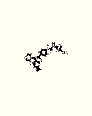 Cc1coc(NC(=O)Nc2ccc(-c3nc4c(c(N5CCOC[C@@H]5C)n3)CCC3(CC3)O4)cc2)n1